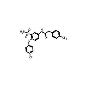 NS(=O)(=O)c1cc(NC(=O)Cc2ccc(C(F)(F)F)cc2)ccc1Oc1ccc(Cl)cc1